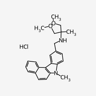 COCC(C)(COC)NCc1ccc2c(c1)c1c3ccccc3ccc1n2C.Cl